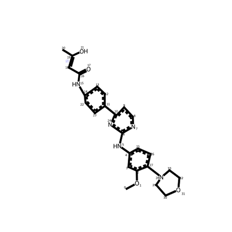 COc1cc(Nc2nccc(-c3ccc(NC(=O)/C=C(/C)O)cc3)n2)ccc1N1CCOCC1